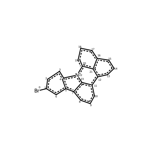 Brc1ccc2c(c1)c1cccc3c4cccc5cccc(c54)n2c31